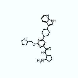 NC1CCCC1NC(=O)c1cc(N2CCC(c3c[nH]c4ncccc34)CC2)nc(OC[C@H]2CCCO2)n1